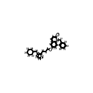 O=c1ccc2cc(OCCCc3nnnn3CC3CCCCC3)ccc2n1Cc1ccccc1